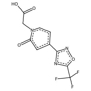 O=C(O)Cn1ccc(-c2noc(C(F)(F)F)n2)cc1=O